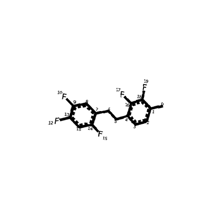 Cc1ccc(CCc2cc(F)c(F)cc2F)c(F)c1F